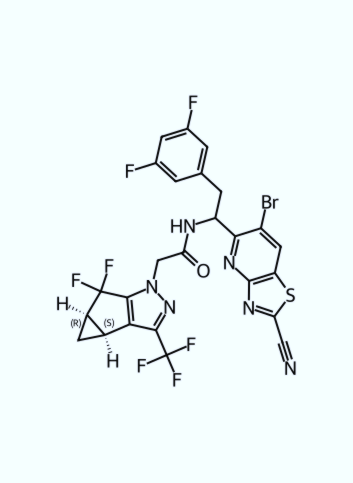 N#Cc1nc2nc(C(Cc3cc(F)cc(F)c3)NC(=O)Cn3nc(C(F)(F)F)c4c3C(F)(F)[C@@H]3C[C@H]43)c(Br)cc2s1